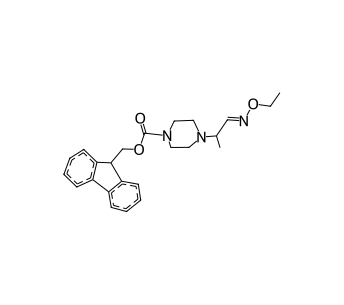 CCON=CC(C)N1CCN(C(=O)OCC2c3ccccc3-c3ccccc32)CC1